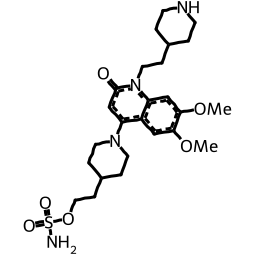 COc1cc2c(N3CCC(CCOS(N)(=O)=O)CC3)cc(=O)n(CCC3CCNCC3)c2cc1OC